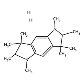 CC1N(C)c2cc3c(cc2C1(C)C)N(C)C(C)C3(C)C.I.I